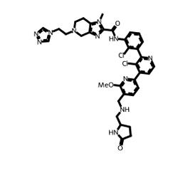 COc1nc(-c2ccnc(-c3cccc(NC(=O)c4nc5c(n4C)CCN(CCn4cnnc4)C5)c3Cl)c2Cl)ccc1CNCC1CCC(=O)N1